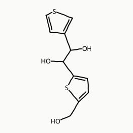 OCc1ccc(C(O)C(O)c2ccsc2)s1